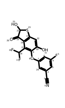 N#Cc1cc(F)cc(Oc2c(O)cc3c(c2C(F)F)C(=O)C(O)S3)c1